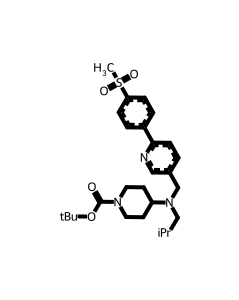 CC(C)CN(Cc1ccc(-c2ccc(S(C)(=O)=O)cc2)nc1)C1CCN(C(=O)OC(C)(C)C)CC1